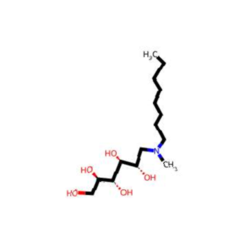 CCCCCCCCN(C)C[C@H](O)[C@@H](O)[C@H](O)[C@H](O)CO